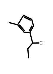 [CH2]c1cccc(C(O)CC)c1